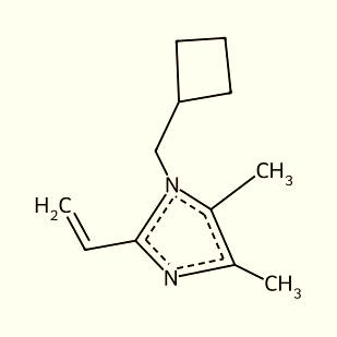 C=Cc1nc(C)c(C)n1CC1CCC1